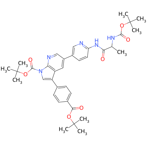 CC(NC(=O)OC(C)(C)C)C(=O)Nc1ccc(-c2cnc3c(c2)c(-c2ccc(C(=O)OC(C)(C)C)cc2)cn3C(=O)OC(C)(C)C)cn1